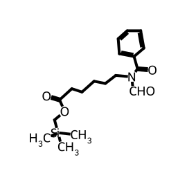 C[Si](C)(C)COC(=O)CCCCCN(C=O)C(=O)c1ccccc1